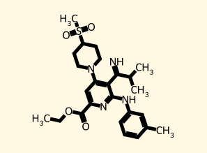 CCOC(=O)c1cc(N2CCC(S(C)(=O)=O)CC2)c(C(=N)C(C)C)c(Nc2cccc(C)c2)n1